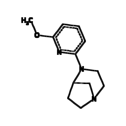 COc1cccc(N2CCN3CCC2C3)n1